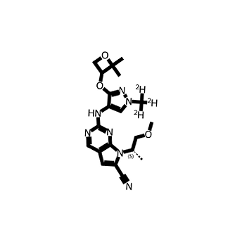 [2H]C([2H])([2H])n1cc(Nc2ncc3cc(C#N)n([C@@H](C)COC)c3n2)c(OC2COC2(C)C)n1